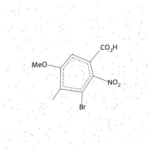 COc1cc(C(=O)O)c([N+](=O)[O-])c(Br)c1C